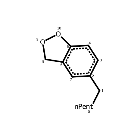 CCCCCCc1ccc2c(c1)COO2